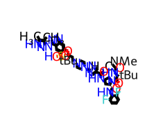 CN[C@@H](C)C(=O)N[C@H](C(=O)N1C[C@@H](NC(=O)c2cnc(N3CCN(CCCOc4cc5ncnc(Nc6n[nH]c(C)c6C)c5cc4S(=O)(=O)C(C)(C)C)CC3)nc2)C[C@H]1C(=O)Nc1c(F)cccc1F)C(C)(C)C